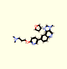 CN(C)CCCOc1ccc(-c2ccc3ncc4c(c3c2)N([C@@H]2CCOC2)CN4C)cn1